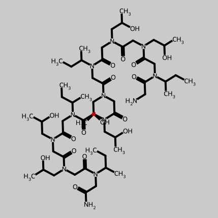 CCC(C)N(CC(N)=O)C(=O)CN(CC(C)O)C(=O)CN(CC(C)O)C(=O)CN(C(=O)CN(CC(C)O)C(=O)CN(CC(C)O)C(=O)CN(C(=O)CN(CC(C)O)C(=O)CN(CC(C)O)C(=O)CN(C(=O)CN)C(C)CC)C(C)CC)C(C)CC